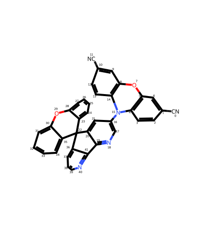 N#Cc1ccc2c(c1)Oc1cc(C#N)ccc1N2c1cnc2c(c1)C1(c3ccccc3Oc3ccccc31)c1cccnc1-2